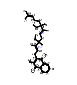 CCC(C)(C/C=C(\C)C(C)(CC)CCC=C(C)C)/C(C)=C/CC1=C(C)C(=O)c2ccccc2C1=O